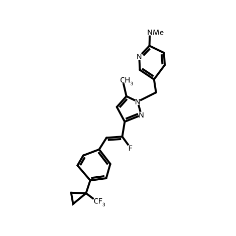 CNc1ccc(Cn2nc(/C(F)=C/c3ccc(C4(C(F)(F)F)CC4)cc3)cc2C)cn1